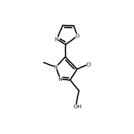 Cn1nc(CO)c(Cl)c1-c1ncco1